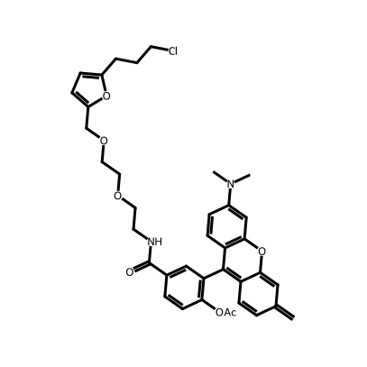 C=c1ccc2c(c1)Oc1cc(N(C)C)ccc1C=2c1cc(C(=O)NCCOCCOCc2ccc(CCCCl)o2)ccc1OC(C)=O